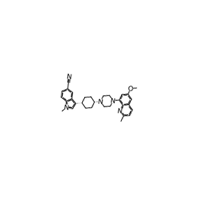 COc1cc(N2CCN([C@H]3CC[C@@H](c4cn(C)c5ccc(C#N)cc54)CC3)CC2)c2nc(C)ccc2c1